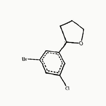 Clc1cc(Br)cc([C]2CCCO2)c1